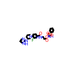 O=C(CCNC(=O)c1ccc(N2CCC[C@H](Nc3ncccn3)C2)c(F)c1)ONS(=O)(=O)c1ccccc1